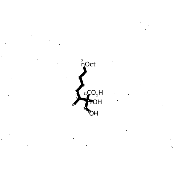 CCCCCCCCCCCCC(C)C(O)(CO)C(=O)O